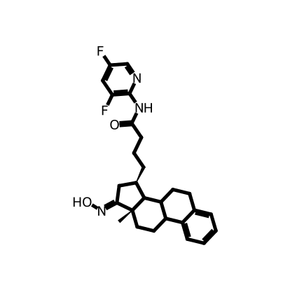 C[C@]12CCC3c4ccccc4CCC3C1[C@H](CCCC(=O)Nc1ncc(F)cc1F)C/C2=N\O